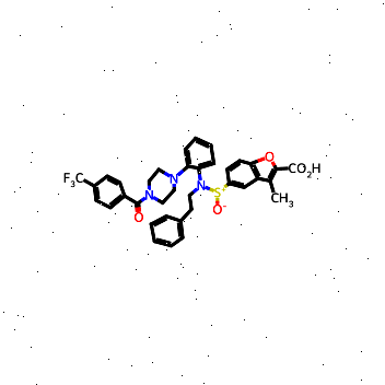 Cc1c(C(=O)O)oc2ccc([S+]([O-])N(CCc3ccccc3)c3ccccc3N3CCN(C(=O)c4ccc(C(F)(F)F)cc4)CC3)cc12